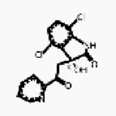 O=C(C[C@]1(O)C(=O)Nc2c(Cl)ccc(Cl)c21)c1ccccn1